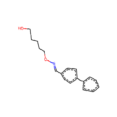 OCCCCCON=Cc1ccc(-c2ccccc2)cc1